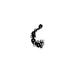 COc1ccc(C(=O)Nc2cc(-c3nc4cc(OCCCN5CCCC5)ccc4o3)ccc2C)cc1[N+](=O)[O-]